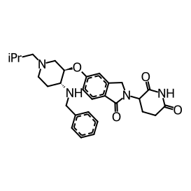 CC(C)CN1CC[C@@H](NCc2ccccc2)[C@H](Oc2ccc3c(c2)CN(C2CCC(=O)NC2=O)C3=O)C1